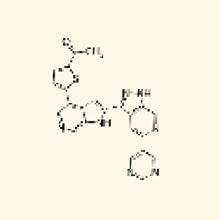 CC(=O)c1ccc(-c2cncc3[nH]c(-c4n[nH]c5cnc(-c6cncnc6)cc45)cc23)s1